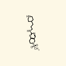 CS(=O)(=O)N1CCc2nc(NCCCC3CCNCC3)ncc2C1